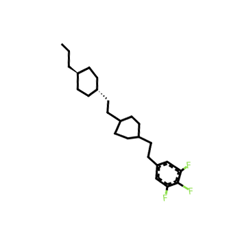 CCC[C@H]1CC[C@H](CCC2CCC(CCc3cc(F)c(F)c(F)c3)CC2)CC1